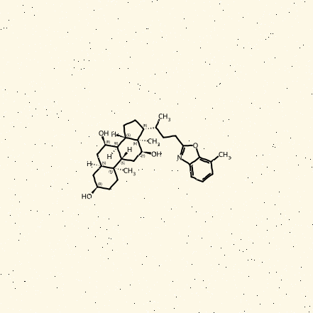 Cc1cccc2nc(CCC(C)[C@H]3CC[C@H]4[C@@H]5[C@H](O)C[C@@H]6C[C@H](O)CC[C@]6(C)[C@H]5C[C@H](O)[C@]34C)oc12